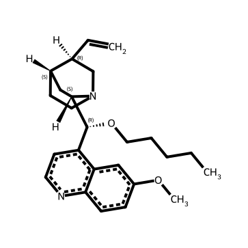 C=C[C@H]1CN2CC[C@H]1C[C@H]2[C@H](OCCCCC)c1ccnc2ccc(OC)cc12